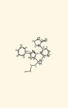 CCCCC(Nc1nccc(N2CCOC2=O)n1)c1cnc(-c2ccccc2)s1